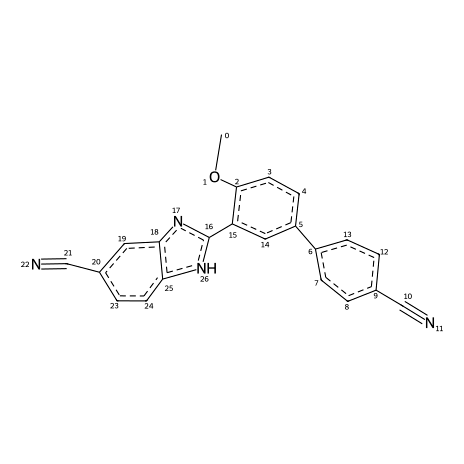 COc1ccc(-c2ccc(C#N)cc2)cc1-c1nc2cc(C#N)ccc2[nH]1